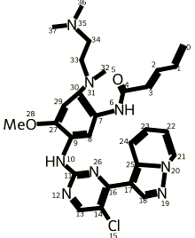 C=C/C=C/C(=O)Nc1cc(Nc2ncc(Cl)c(-c3cnn4ccccc34)n2)c(OC)cc1N(C)CCN(C)C